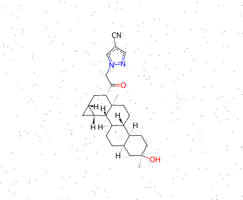 C[C@@]1(O)CC[C@H]2[C@H](CC[C@@H]3[C@@H]2CC[C@@]2(C)[C@H]3[C@@H]3C[C@@H]3C[C@@H]2C(=O)Cn2cc(C#N)cn2)C1